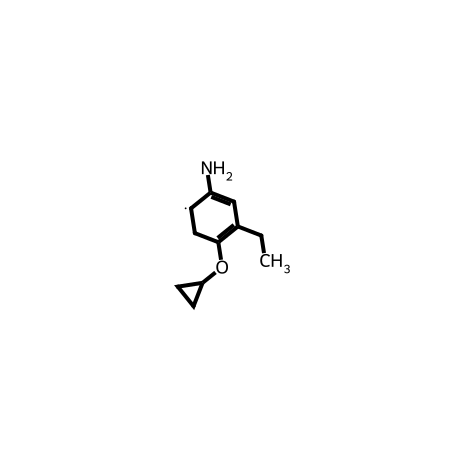 CCC1=C(OC2CC2)C[CH]C(N)=C1